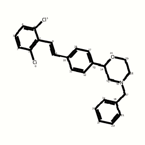 Clc1cccc(Cl)c1C=Cc1ccc(C2CN(Cc3ccccc3)CCO2)cc1